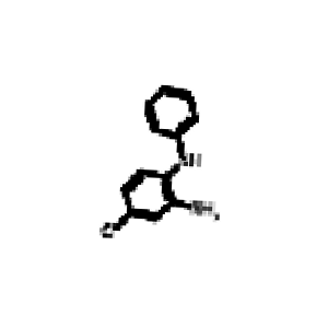 Nc1cc(Cl)ccc1Nc1ccccc1